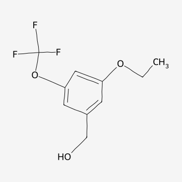 CCOc1cc(CO)cc(OC(F)(F)F)c1